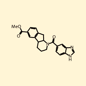 COC(=O)c1ccc2c(c1)C1CCCN(C(=O)c3ccc4[nH]cnc4c3)C1C2